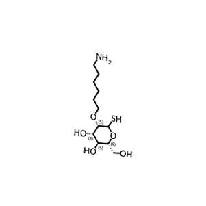 NCCCCCCO[C@@H]1C(S)O[C@H](CO)[C@@H](O)[C@@H]1O